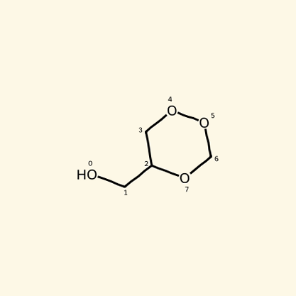 OCC1COOCO1